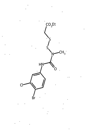 CCOC(=O)CSSN(C)C(=O)Nc1ccc(Br)c(Cl)c1